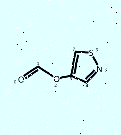 O=COc1cnsc1